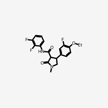 CCOc1ccc(C2CN(C)C(=O)C2C(=O)Nc2cccc(F)c2F)cc1F